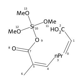 C=CC(=O)O.CCCC=C(C)C(=O)O[Si](OC)(OC)OC